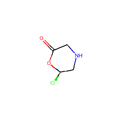 O=C1CNC[C@@H](Cl)O1